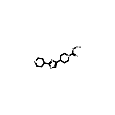 CC(C)(C)OC(=O)N1CCC(c2coc(C3CCOCC3)n2)CC1